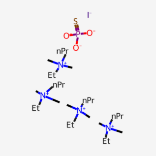 CCC[N+](C)(C)CC.CCC[N+](C)(C)CC.CCC[N+](C)(C)CC.CCC[N+](C)(C)CC.[I-].[O-]P([O-])([O-])=S